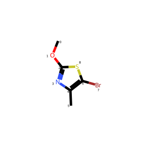 COc1nc(C)c(Br)s1